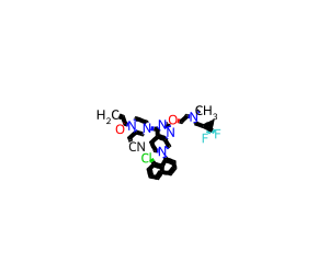 C=CC(=O)N1CCN(c2nc(OCCN(C)CC3CC3(F)F)nc3c2CCN(c2cccc4cccc(Cl)c24)C3)CC1CC#N